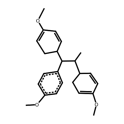 COC1=CCC(C(C)C(c2ccc(OC)cc2)C2C=CC(OC)=CC2)C=C1